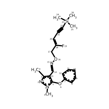 Cc1nn(C)c(Oc2ccccc2)c1C=NOCC(F)=CC#C[Si](C)(C)C